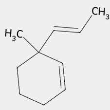 CC=CC1(C)C=CCCC1